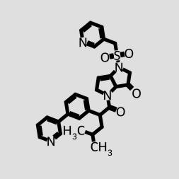 CC(C)CC(C(=O)N1CC=C2C1C(=O)CN2S(=O)(=O)Cc1cccnc1)c1cccc(-c2cccnc2)c1